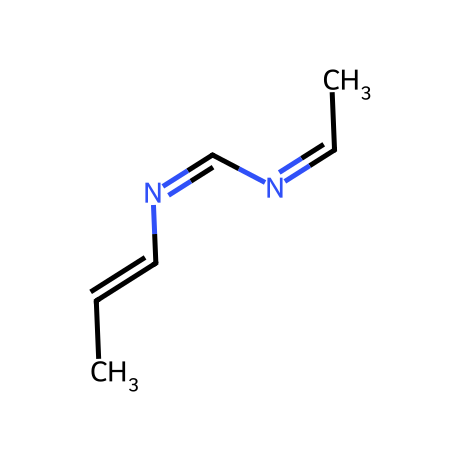 C\C=N/C=N\C=C\C